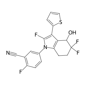 N#Cc1cc(-n2c(F)c(-c3cccs3)c3c2CCC(F)(F)C3O)ccc1F